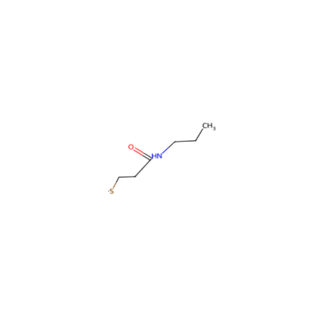 CCCNC(=O)CC[S]